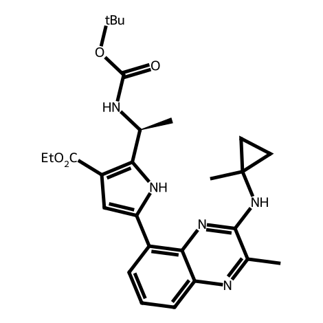 CCOC(=O)c1cc(-c2cccc3nc(C)c(NC4(C)CC4)nc23)[nH]c1[C@H](C)NC(=O)OC(C)(C)C